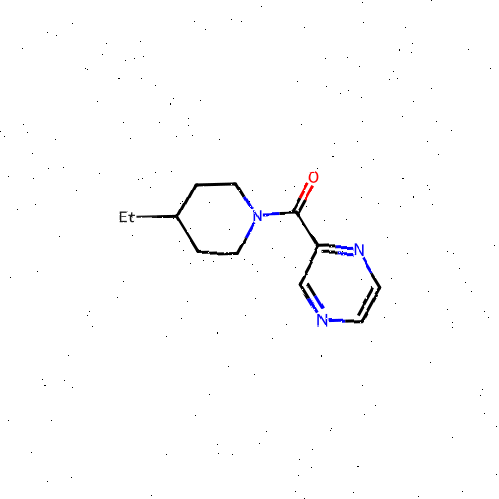 [CH2]CC1CCN(C(=O)c2cnccn2)CC1